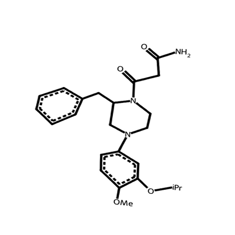 COc1ccc(N2CCN(C(=O)CC(N)=O)C(Cc3ccccc3)C2)cc1OC(C)C